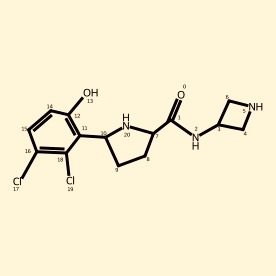 O=C(NC1CNC1)C1CCC(c2c(O)ccc(Cl)c2Cl)N1